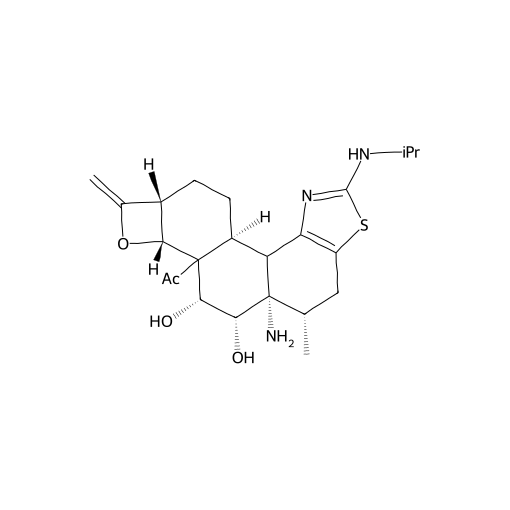 C=C1O[C@@H]2[C@H]1CC[C@H]1C3c4nc(NC(C)C)sc4C[C@H](C)[C@@]3(N)[C@H](O)[C@H](O)C21C(C)=O